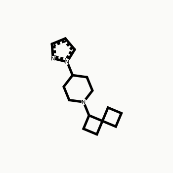 c1cnn(C2CCN(C3CCC34CCC4)CC2)c1